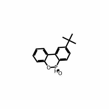 CC(C)(C)c1ccc2c(c1)-c1ccccc1O[PH]2=O